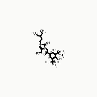 CCC(CC)CCn1cc(CO)n(CC(=O)c2cc(C(C)(C)C)c(O)c(C(C)(C)C)c2)c1=N